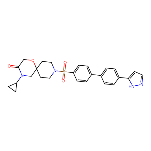 O=C1COC2(CCN(S(=O)(=O)c3ccc(-c4ccc(-c5ccn[nH]5)cc4)cc3)CC2)CN1C1CC1